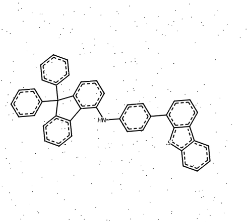 c1ccc(C2(c3ccccc3)c3ccccc3-c3c(Nc4ccc(-c5cccc6c5sc5ccccc56)cc4)cccc32)cc1